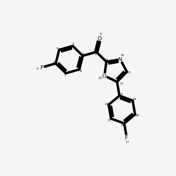 O=C(c1ccc(F)cc1)c1ncc(-c2ccc(F)cc2)o1